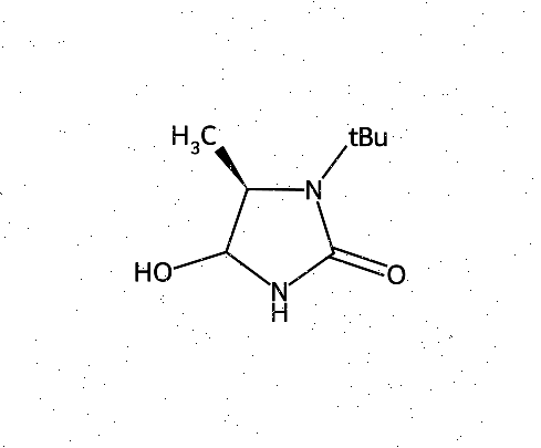 C[C@@H]1C(O)NC(=O)N1C(C)(C)C